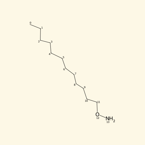 CCCCCCCCCCCCON